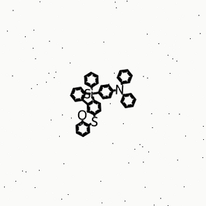 c1ccc(N(c2ccccc2)c2ccc([Si]3(c4ccccc4)c4ccccc4-c4c3ccc3c4Oc4ccccc4S3)cc2)cc1